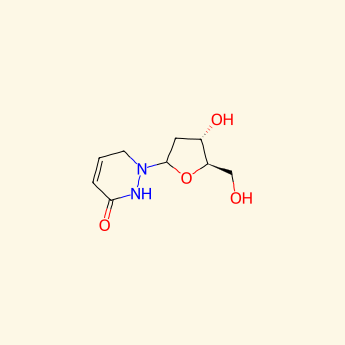 O=C1C=CCN(C2C[C@H](O)[C@@H](CO)O2)N1